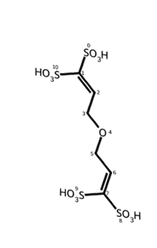 O=S(=O)(O)C(=CCOCC=C(S(=O)(=O)O)S(=O)(=O)O)S(=O)(=O)O